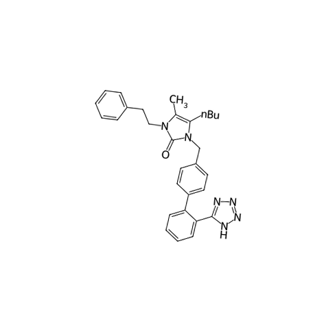 CCCCc1c(C)n(CCc2ccccc2)c(=O)n1Cc1ccc(-c2ccccc2-c2nnn[nH]2)cc1